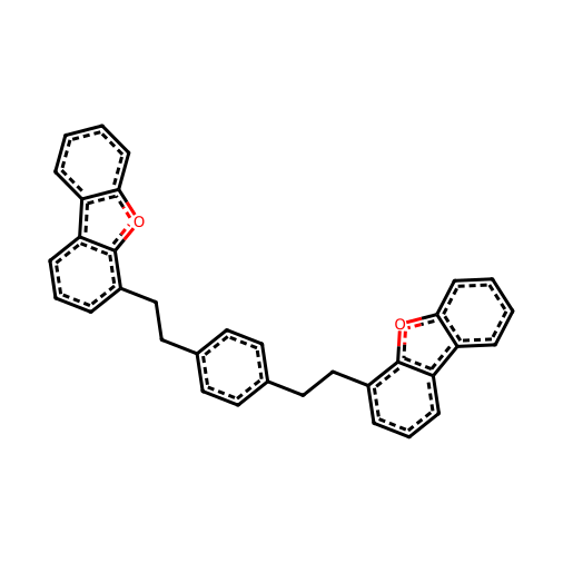 c1ccc2c(c1)oc1c(CCc3ccc(CCc4cccc5c4oc4ccccc45)cc3)cccc12